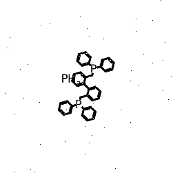 P.c1ccc(P(Cc2ccccc2-c2ccccc2CP(c2ccccc2)c2ccccc2)c2ccccc2)cc1